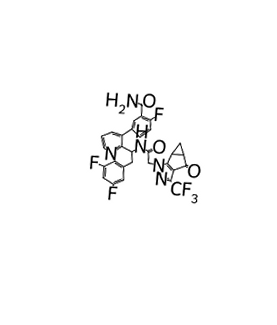 NC(=O)c1cc(-c2cccnc2C(Cc2cc(F)cc(F)c2)NC(=O)Cn2nc(C(F)(F)F)c3c2C2CC2C3=O)ccc1F